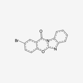 O=c1c2cc(Br)ccc2oc2nc3ccccc3n12